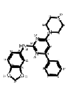 c1ccc(-c2cc(N3CCSCC3)nc(Nc3ccc4c(c3)OCO4)n2)cc1